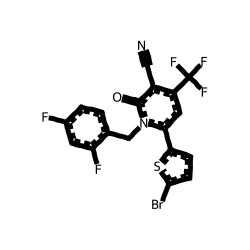 N#Cc1c(C(F)(F)F)cc(-c2ccc(Br)s2)n(Cc2ccc(F)cc2F)c1=O